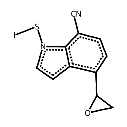 N#Cc1ccc(C2CO2)c2ccn(SI)c12